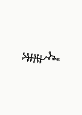 CCPCC(=O)OCCC(F)(F)C(F)(F)C(F)(F)C(F)(F)C(F)(F)C(F)F